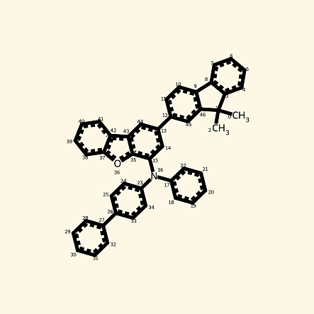 CC1(C)c2ccccc2-c2ccc(-c3cc(N(c4ccccc4)c4ccc(-c5ccccc5)cc4)c4oc5ccccc5c4c3)cc21